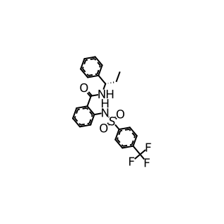 CC[C@H](NC(=O)c1ccccc1NS(=O)(=O)c1ccc(C(F)(F)F)cc1)c1ccccc1